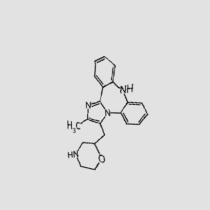 Cc1nc2n(c1CC1CNCCO1)-c1ccccc1Nc1ccccc1-2